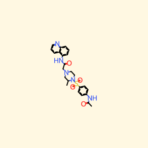 CC(=O)Nc1ccc(S(=O)(=O)N2CCN(CC(=O)Nc3cccc4ncccc34)CC2C)cc1